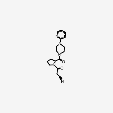 N#CCC(=O)N1CCCC1C(=O)N1CCN(c2ccccn2)CC1